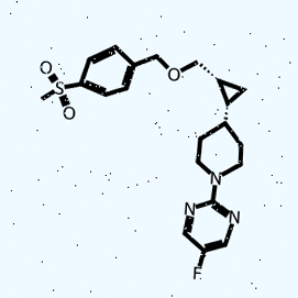 CS(=O)(=O)c1ccc(COC[C@@H]2C[C@@H]2C2CCN(c3ncc(F)cn3)CC2)cc1